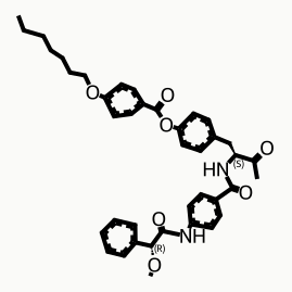 CCCCCCCOc1ccc(C(=O)Oc2ccc(C[C@H](NC(=O)c3ccc(NC(=O)[C@H](OC)c4ccccc4)cc3)C(C)=O)cc2)cc1